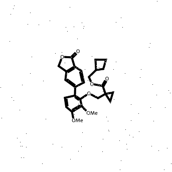 COc1ccc(-c2ccc3c(c2)COC3=O)c(OCC2(C(=O)OCC3CCC3)CC2)c1OC